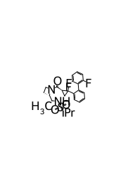 CC(C)S(=O)(=O)N[C@@H](C)[C@@H]1CCN1C(=O)[C@@H]1C[C@@]1(F)c1ccccc1-c1c(F)cccc1F